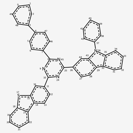 c1ccc(-c2ccc(-c3nc(-c4ccc5c(c4)sc4ccccc45)nc(-c4ccc5c6ccccc6n(-c6ccccc6)c5c4)n3)cc2)cc1